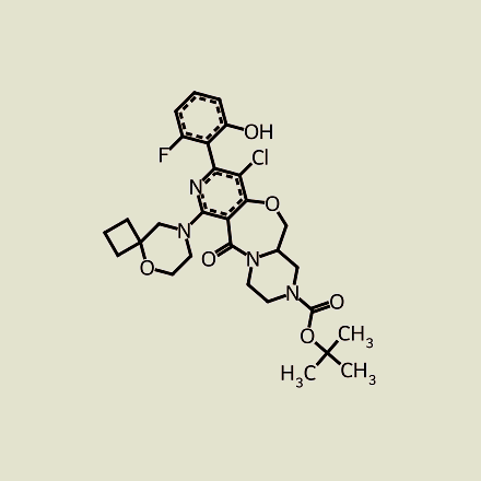 CC(C)(C)OC(=O)N1CCN2C(=O)c3c(N4CCOC5(CCC5)C4)nc(-c4c(O)cccc4F)c(Cl)c3OCC2C1